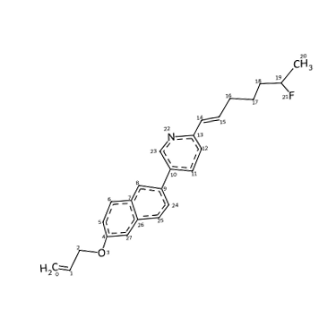 C=CCOc1ccc2cc(-c3ccc(C=CCCCC(C)F)nc3)ccc2c1